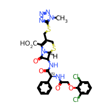 Cn1nnnc1SCC1=C(C(=O)O)N2C(=O)C(NC(=O)[C@@H](NC(=O)COc3c(Cl)cccc3Cl)c3ccccc3)[C@@H]2SC1